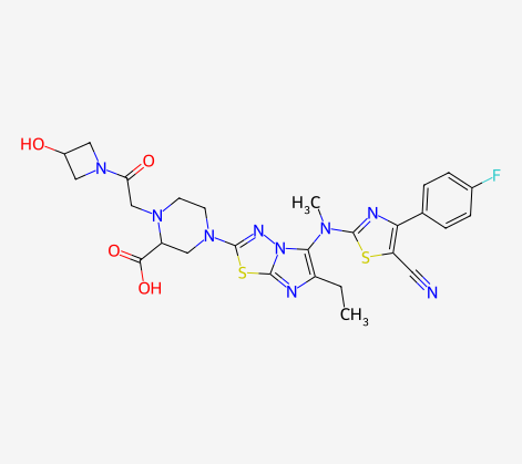 CCc1nc2sc(N3CCN(CC(=O)N4CC(O)C4)C(C(=O)O)C3)nn2c1N(C)c1nc(-c2ccc(F)cc2)c(C#N)s1